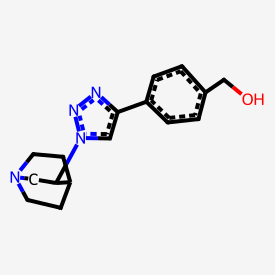 OCc1ccc(-c2cn(C3CN4CCC3CC4)nn2)cc1